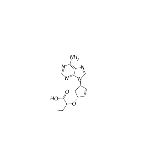 CCC(O[C@H]1C=C[C@H](n2cnc3c(N)ncnc32)C1)C(=O)O